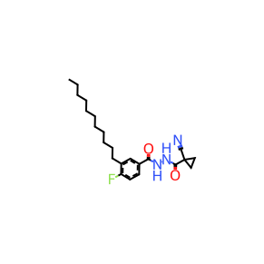 CCCCCCCCCCCc1cc(C(=O)NNC(=O)C2(C#N)CC2)ccc1F